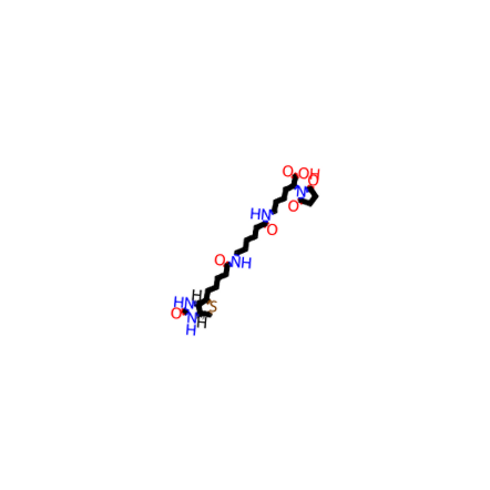 O=C(CCCCCNC(=O)CCCCC1SC[C@@H]2NC(=O)N[C@H]12)NCCCCC(C(=O)O)N1C(=O)CCC1=O